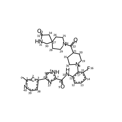 Cc1cc(-c2c[nH]c(C(=O)Nc3cccc(F)c3N3CCC(C(=O)N4CCC5(CC4)CNC(=O)C5)CC3)n2)ccn1